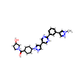 Cn1cc(-c2cccc(-c3ncc(-c4cnn(C5CCC(C(=O)N6CCC(O)C6)CC5)c4)cn3)c2)cn1